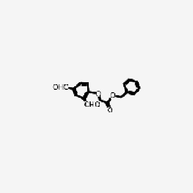 O=Cc1ccc(OCC(=O)OCc2ccccc2)c(C=O)c1